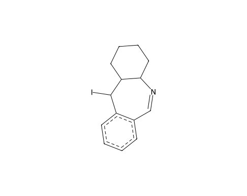 IC1c2ccccc2C=NC2CCCCC21